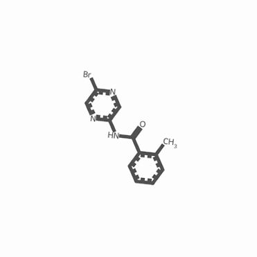 Cc1ccccc1C(=O)Nc1cnc(Br)cn1